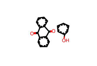 O=C1c2ccccc2C(=O)c2ccccc21.Oc1ccccc1